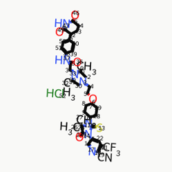 C[C@@H]1CN(CCO[C@H]2CC[C@H](N3C(=S)N(c4cnc(C#N)c(C(F)(F)F)c4)C(=O)C3(C)C)CC2)C[C@H](C)N1CC(=O)Nc1ccc(C2CCC(=O)NC2=O)cc1.Cl